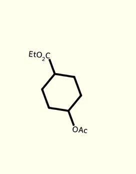 CCOC(=O)C1CCC(OC(C)=O)CC1